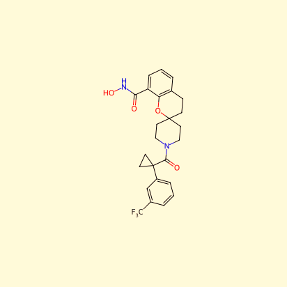 O=C(NO)c1cccc2c1OC1(CC2)CCN(C(=O)C2(c3cccc(C(F)(F)F)c3)CC2)CC1